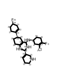 FC1=C(Cl)C[C@@H](N[C@H]2N[C@@H](C3=CCCNC3)NC3=C2C[C@H](C2=CC[C@H](F)CC2)CC3)CC1